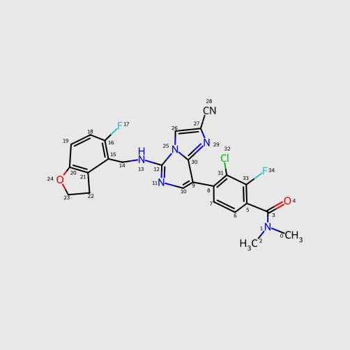 CN(C)C(=O)c1ccc(-c2cnc(NCc3c(F)ccc4c3CCO4)n3cc(C#N)nc23)c(Cl)c1F